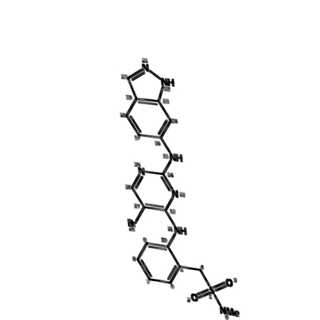 CNS(=O)(=O)Cc1ccccc1Nc1nc(Nc2ccc3cn[nH]c3c2)ncc1Br